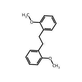 COc1ccccc1[CH]Cc1ccccc1OC